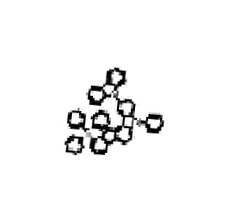 c1ccc(-n2c3ccc(-n4c5ccccc5c5ccccc54)cc3c3c4c(ccc32)-c2cccc([Si](c3ccccc3)(c3ccccc3)c3ccccc3)c2C4)cc1